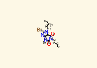 C=CCCn1c(=O)c2c(nc(Br)n2CC=C(C)C)n(C)c1=O